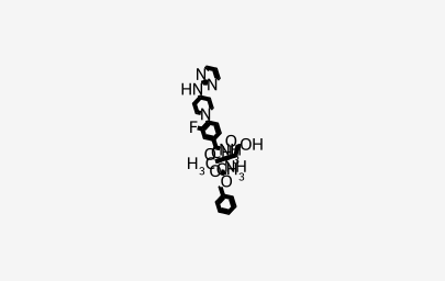 CC(C)(C)C(CC(=O)O)(NC(=O)OCc1ccccc1)NC(=O)c1ccc(N2CCC(Nc3ncccn3)CC2)c(F)c1